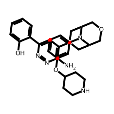 Nc1nnc(-c2ccccc2O)cc1N1CC2COCC(C1)N2c1cccc(OC2CCNCC2)c1